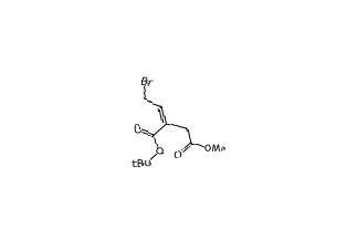 COC(=O)CC(=CCBr)C(=O)OC(C)(C)C